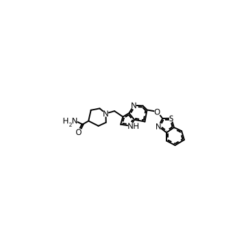 NC(=O)C1CCN(Cc2c[nH]c3cc(Oc4nc5ccccc5s4)cnc23)CC1